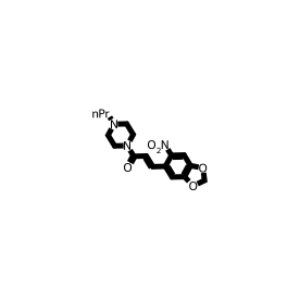 CCCN1CCN(C(=O)C=Cc2cc3c(cc2[N+](=O)[O-])OCO3)CC1